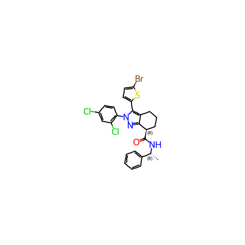 C[C@@H](NC(=O)[C@@H]1CCCc2c1nn(-c1ccc(Cl)cc1Cl)c2-c1ccc(Br)s1)c1ccccc1